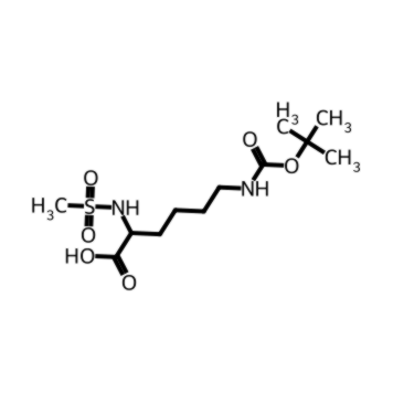 CC(C)(C)OC(=O)NCCCCC(NS(C)(=O)=O)C(=O)O